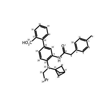 Cc1ccc(CC(=O)Nc2cc(-c3ccccc3C(=O)O)ccc2N(CC(C)C)C23CC(C2)C3)cc1